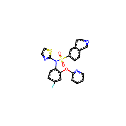 O=S(=O)(c1ccc2cnccc2c1)N(c1nccs1)c1ccc(F)cc1Oc1ccccn1